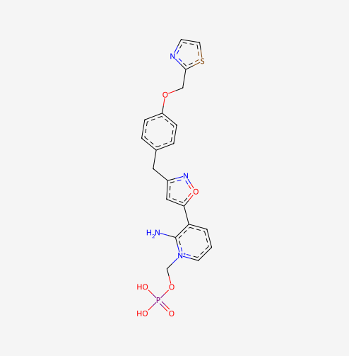 Nc1c(-c2cc(Cc3ccc(OCc4nccs4)cc3)no2)ccc[n+]1COP(=O)(O)O